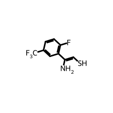 N/C(=C\S)c1cc(C(F)(F)F)ccc1F